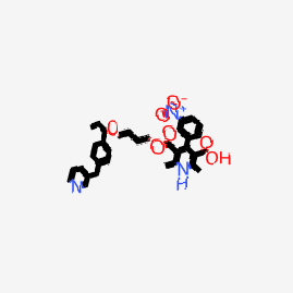 CCC(OCCCCOC(=O)C1=C(C)NC(C)=C(C(=O)O)C1c1cccc([N+](=O)[O-])c1)c1ccc(Cc2cccnc2)cc1